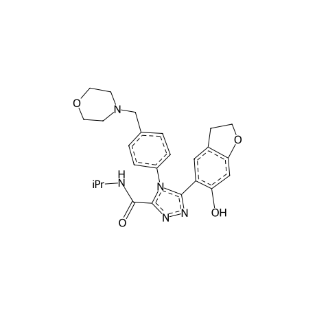 CC(C)NC(=O)c1nnc(-c2cc3c(cc2O)OCC3)n1-c1ccc(CN2CCOCC2)cc1